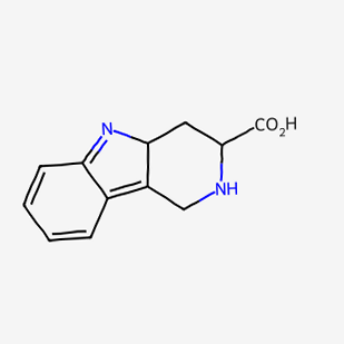 O=C(O)C1CC2N=c3ccccc3=C2CN1